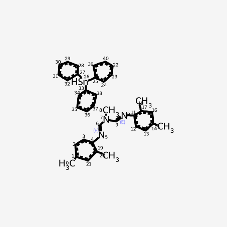 Cc1ccc(/N=C/N(C)/C=N/c2ccc(C)cc2C)c(C)c1.c1cc[c]([SnH]([c]2ccccc2)[c]2ccccc2)cc1